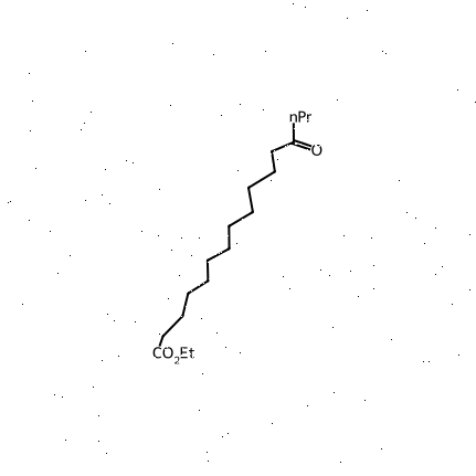 CCCC(=O)CCCCCCCCCCCC(=O)OCC